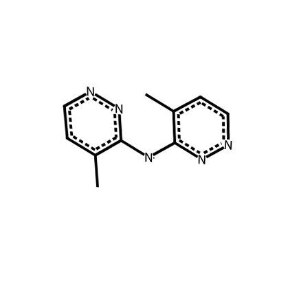 Cc1ccnnc1[N]c1nnccc1C